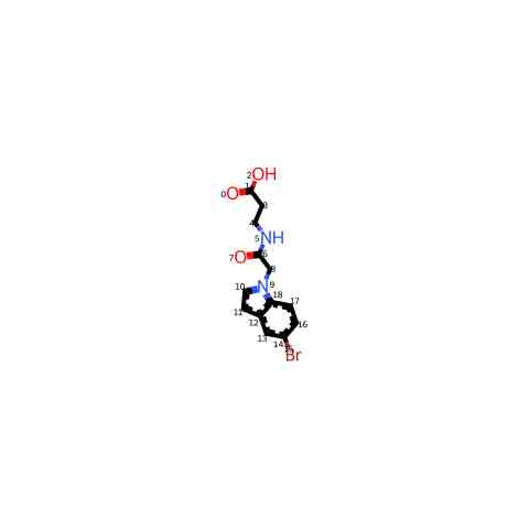 O=C(O)CCNC(=O)Cn1ccc2cc(Br)ccc21